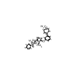 CCn1c(Oc2cccc(N3CCN(C)CC3)c2)nnc1[C@@H](C)NS(=O)(=O)c1cccnc1